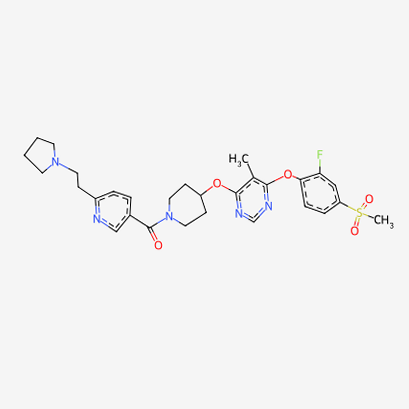 Cc1c(Oc2ccc(S(C)(=O)=O)cc2F)ncnc1OC1CCN(C(=O)c2ccc(CCN3CCCC3)nc2)CC1